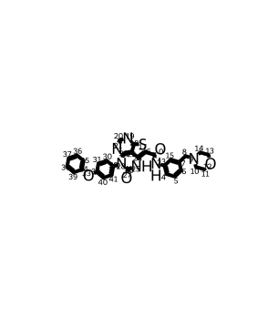 O=C(Nc1cccc(CN2CCOCC2)c1)c1sc2ncnc3c2c1NC(=O)N3c1ccc(Oc2ccccc2)cc1